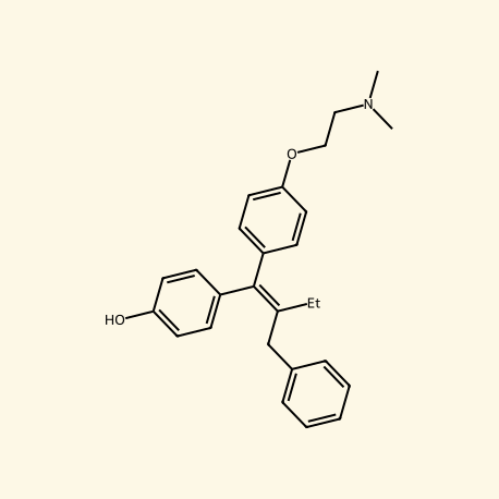 CC/C(Cc1ccccc1)=C(/c1ccc(O)cc1)c1ccc(OCCN(C)C)cc1